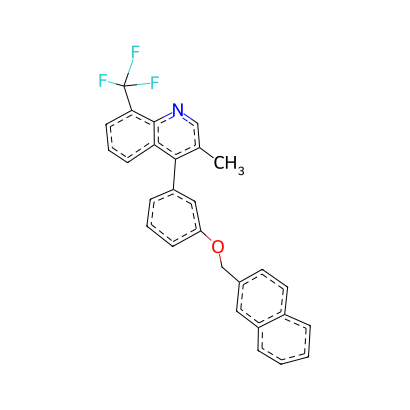 Cc1cnc2c(C(F)(F)F)cccc2c1-c1cccc(OCc2ccc3ccccc3c2)c1